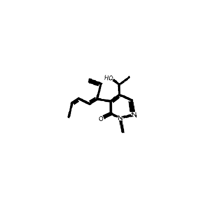 C=C/C(=C\C=C/C)c1c(C(C)O)cnn(C)c1=O